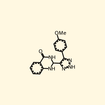 COc1ccc(-c2n[nH]nc2C2NC(=O)c3ccccc3N2)cc1